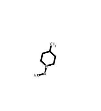 FC(F)(F)C1CCN(SS)CC1